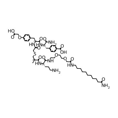 C[C@@H](CSCC(=O)N[C@@H](Cc1ccc(OCC(=O)O)cc1)C(=O)N[C@@H](Cc1ccc(C(=O)O)cc1)C(N)=O)C(=O)N[C@@H](CCCN)C(=O)NCCOCCOCC(=O)NCCCCCCCCCCC(N)=O